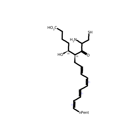 CCCCC\C=C/C=C/C=C\C=CC[C@H](C(=O)C(N)CS)[C@@H](O)CCCC(=O)O